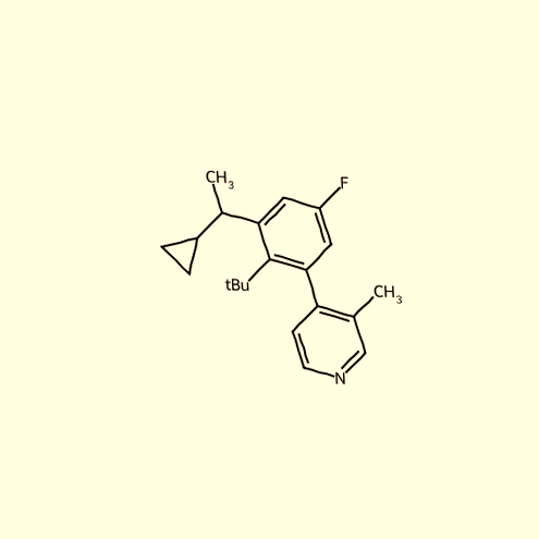 Cc1cnccc1-c1cc(F)cc(C(C)C2CC2)c1C(C)(C)C